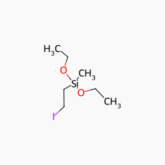 CCO[Si](C)(CCI)OCC